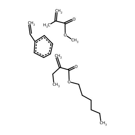 C=C(C)C(=O)OC.C=C(CC)C(=O)OCCCCCC.C=Cc1ccccc1